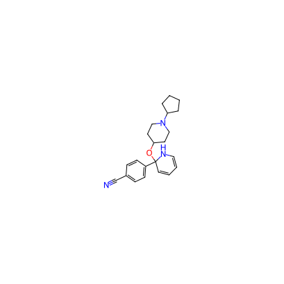 N#Cc1ccc(C2(OC3CCN(C4CCCC4)CC3)C=CC=CN2)cc1